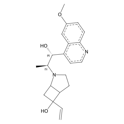 C=CC1(O)CC2C1CCN2[C@@H](C)[C@H](O)c1ccnc2ccc(OC)cc12